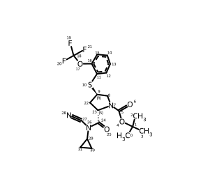 CC(C)(C)OC(=O)N1C[C@H](Sc2ccccc2OC(F)(F)F)C[C@H]1C(=O)N(C#N)C1CC1